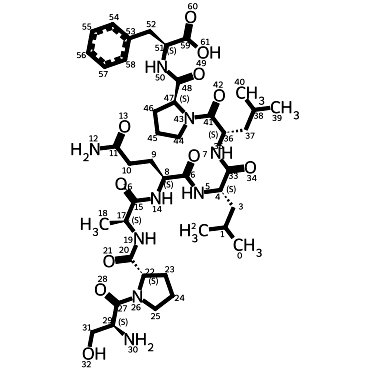 CC(C)C[C@H](NC(=O)[C@H](CCC(N)=O)NC(=O)[C@H](C)NC(=O)[C@@H]1CCCN1C(=O)[C@@H](N)CO)C(=O)N[C@@H](CC(C)C)C(=O)N1CCC[C@H]1C(=O)N[C@@H](Cc1ccccc1)C(=O)O